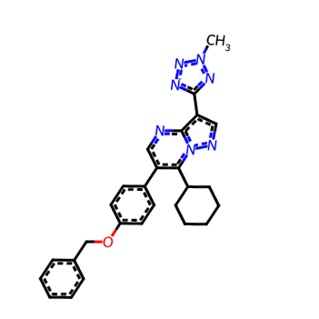 Cn1nnc(-c2cnn3c(C4CCCCC4)c(-c4ccc(OCc5ccccc5)cc4)cnc23)n1